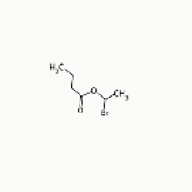 CCCC(=O)OC(C)Br